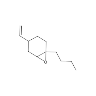 C=CC1CCC2(CCCC)OC2C1